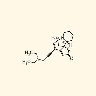 CCN(CC)CC#CC1=C[C@@H]2CC3(OC(=O)C=C13)[C@H]1CCCCN21